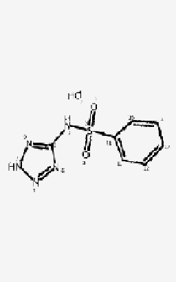 Cl.O=S(=O)(Nc1nn[nH]n1)c1ccccc1